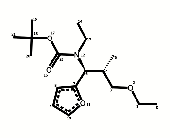 CCOC[C@@H](C)[C@@H](c1ccco1)N(CC)C(=O)OC(C)(C)C